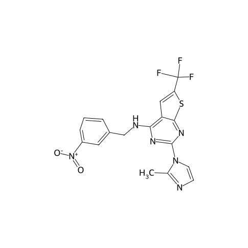 Cc1nccn1-c1nc(NCc2cccc([N+](=O)[O-])c2)c2cc(C(F)(F)F)sc2n1